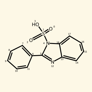 O=S(=O)(O)n1c(-c2ccccc2)nc2ccccc21